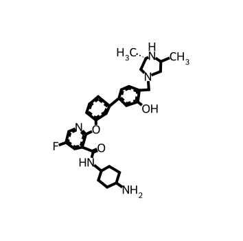 CC1CN(Cc2ccc(-c3cccc(Oc4ncc(F)cc4C(=O)NC4CCC(N)CC4)c3)cc2O)C[C@H](C)N1